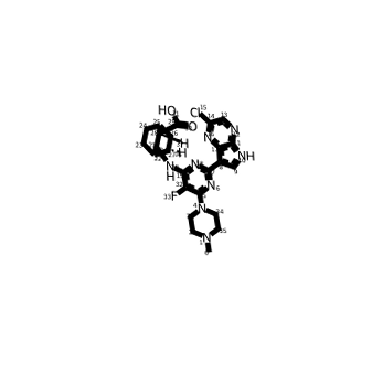 CN1CCN(c2nc(-c3c[nH]c4ncc(Cl)nc34)nc(N[C@H]3C4CCC(CC4)[C@@H]3C(=O)O)c2F)CC1